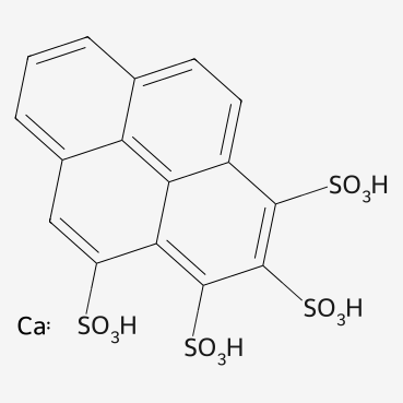 O=S(=O)(O)c1c(S(=O)(=O)O)c2ccc3cccc4cc(S(=O)(=O)O)c(c1S(=O)(=O)O)c2c34.[Ca]